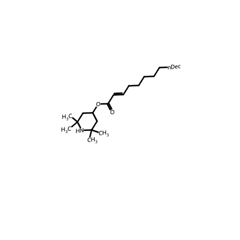 CCCCCCCCCCCCCCCC=CC(=O)OC1CC(C)(C)NC(C)(C)C1